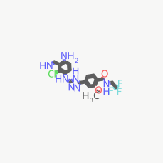 COc1cc(-c2nnc(Nc3ccc(N)c(C=N)c3Cl)[nH]2)ccc1C(=O)NCC(F)(F)F